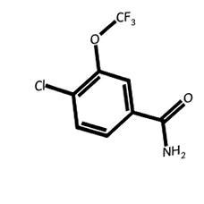 NC(=O)c1ccc(Cl)c(OC(F)(F)F)c1